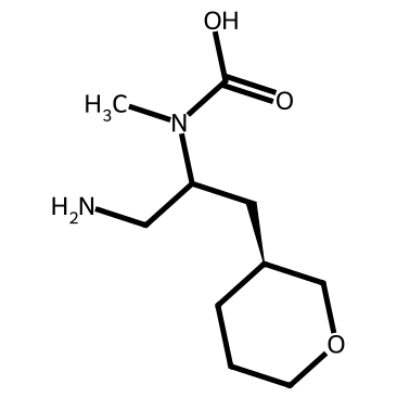 CN(C(=O)O)C(CN)C[C@@H]1CCCOC1